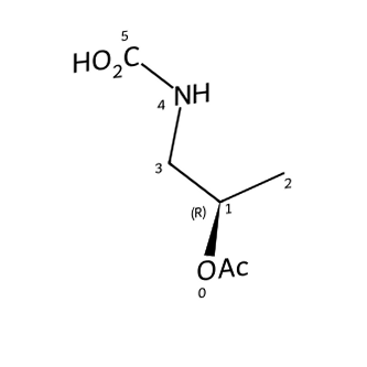 CC(=O)O[C@H](C)CNC(=O)O